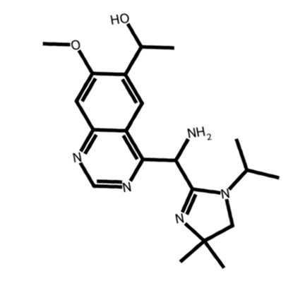 COc1cc2ncnc(C(N)C3=NC(C)(C)CN3C(C)C)c2cc1C(C)O